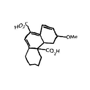 COC1C=CC2=C(C(=O)O)C=C3CCCCC3(C(=O)O)C2C1